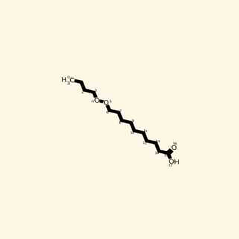 CCCCOOCCCCCCCCCC(=O)O